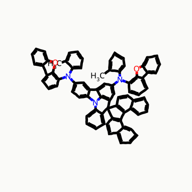 Cc1ccccc1N(c1ccc2c(c1)c1cc(N(c3ccccc3C)c3cccc4c3oc3ccccc34)cc3c1n2-c1ccccc1C31c2ccc3ccccc3c2-c2c1ccc1ccccc21)c1cccc2c1oc1ccccc12